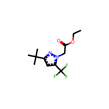 CCOC(=O)Cn1nc(C(C)(C)C)cc1C(F)(F)F